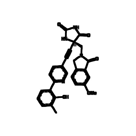 COc1ccc2c(c1)C(=O)N(C[C@@]1(C#Cc3ccc(-c4cccc(C)c4O)nc3)NC(=O)NC1=O)C2